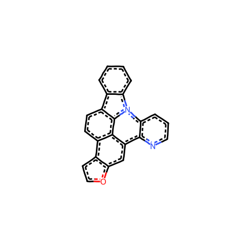 c1ccc2c(c1)c1ccc3c4ccoc4cc4c5ncccc5n2c1c34